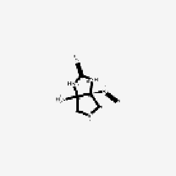 C=N[C@@]12CSCC1(N)NC(=O)N2